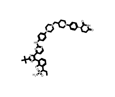 CCC(c1cccc(-c2nc(C(C)(C)C)sc2-c2ccnc(Nc3ccc(N4CCN(CC5CCN(c6ccc([C@@H]7CCC(=O)NC7=O)cc6)CC5)CC4)cc3)n2)c1F)S(N)(=O)=O